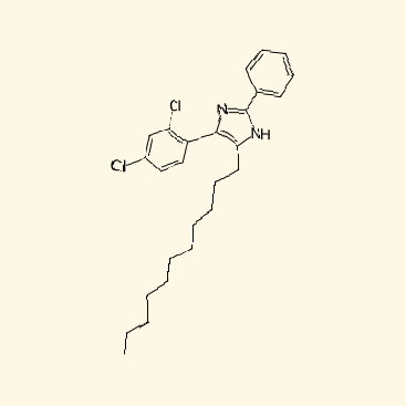 CCCCCCCCCCCc1[nH]c(-c2ccccc2)nc1-c1ccc(Cl)cc1Cl